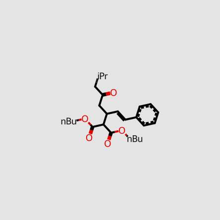 CCCCOC(=O)C(C(=O)OCCCC)C(C=Cc1ccccc1)CC(=O)CC(C)C